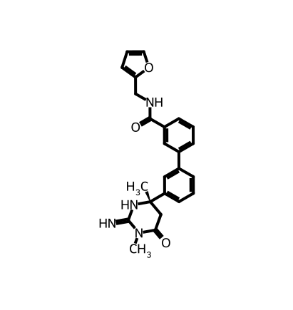 CN1C(=N)N[C@](C)(c2cccc(-c3cccc(C(=O)NCc4ccco4)c3)c2)CC1=O